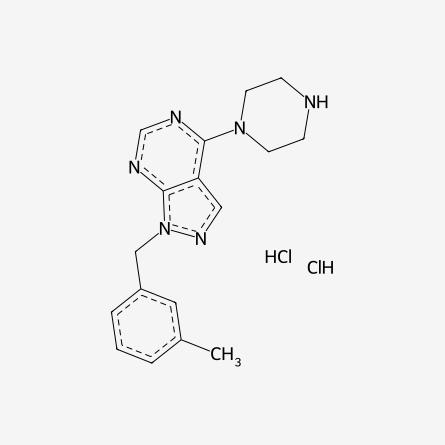 Cc1cccc(Cn2ncc3c(N4CCNCC4)ncnc32)c1.Cl.Cl